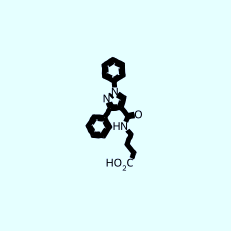 O=C(O)CCCNC(=O)c1cn(-c2ccccc2)nc1-c1ccccc1